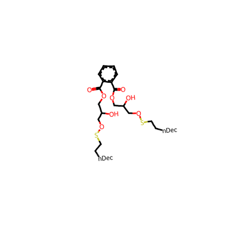 CCCCCCCCCCCCSOCC(O)COC(=O)c1ccccc1C(=O)OCC(O)COSCCCCCCCCCCCC